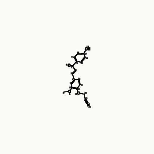 COc1cc(C=CC(=O)c2ccc(O)cc2)ccc1OCC#N